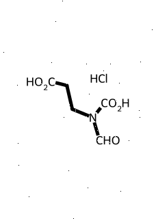 Cl.O=CN(CCC(=O)O)C(=O)O